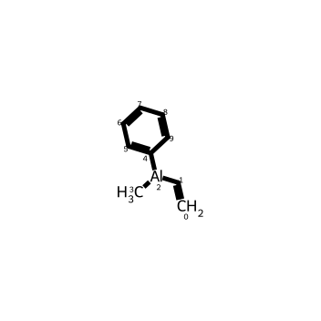 C=[CH][Al]([CH3])[c]1ccccc1